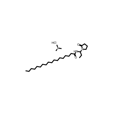 CCCCCCCCCCCCCCCCCC(=O)NC(CC)N1CCCC1=O.CN(C)C.Cl